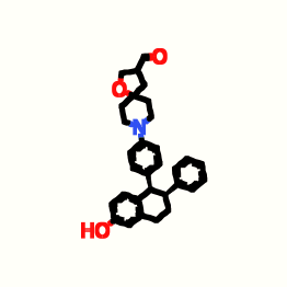 O=CC1COC2(CCN(c3ccc([C@@H]4c5ccc(O)cc5CC[C@@H]4c4ccccc4)cc3)CC2)C1